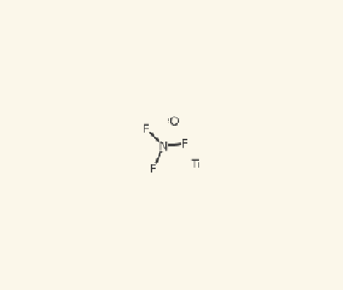 FN(F)F.[O].[Ti]